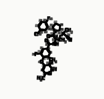 Cc1cc(Oc2c(C)cc(C(=O)NC(C)C(=O)N3[C@H](c4cc(Cl)ccc4F)CC[C@@H]3C(C)(C)C#N)cc2F)c(=O)[nH]n1